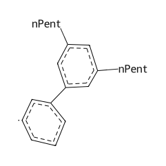 CCCCCc1cc(CCCCC)cc(-c2c[c]ccc2)c1